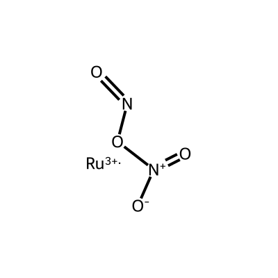 O=NO[N+](=O)[O-].[Ru+3]